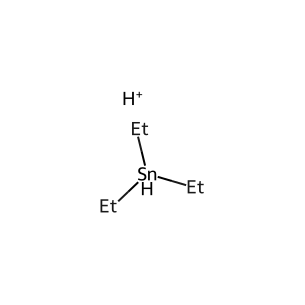 C[CH2][SnH]([CH2]C)[CH2]C.[H+]